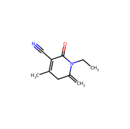 C=C1CC(C)=C(C#N)C(=O)N1CC